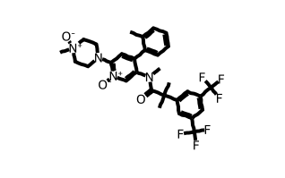 Cc1ccccc1-c1cc(N2CC[N+](C)([O-])CC2)[n+]([O-])cc1N(C)C(=O)C(C)(C)c1cc(C(F)(F)F)cc(C(F)(F)F)c1